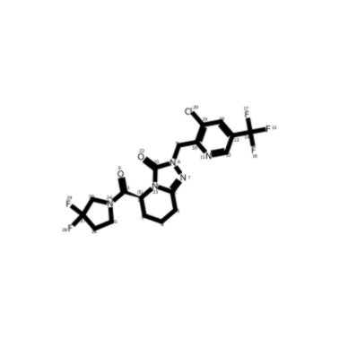 O=C([C@@H]1CCCc2nn(Cc3ncc(C(F)(F)F)cc3Cl)c(=O)n21)N1CCC(F)(F)C1